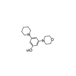 Oc1cc(N2CCCCC2)cc(N2CCOCC2)c1